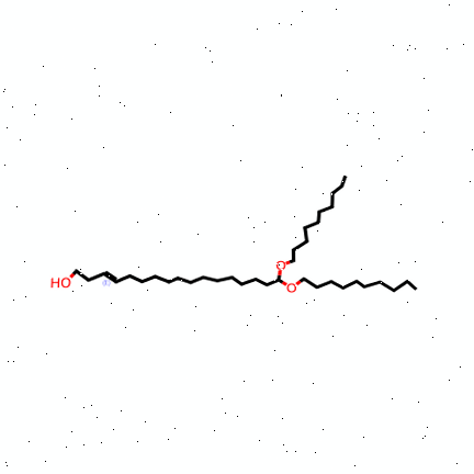 CCCCCCCCCCOC(CCCCCCCCCCCC/C=C/CCO)OCCCCCCCCCC